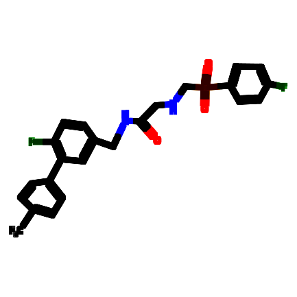 O=C(CNCS(=O)(=O)c1ccc(F)cc1)NCc1ccc(F)c(-c2ccc(C(F)(F)F)cc2)c1